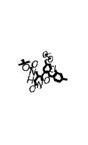 Cc1ccc(C(=O)c2ccc(CS(C)(=O)=O)cc2-c2cn(C)c(=O)cc2CNC(=O)OC(C)(C)C)c(Cl)c1